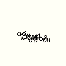 CN(C)Cc1sc(NC(=O)c2cnc(N3CCC(C(=O)O)CC3)c(Cl)c2)nc1-c1cc(Cl)cs1